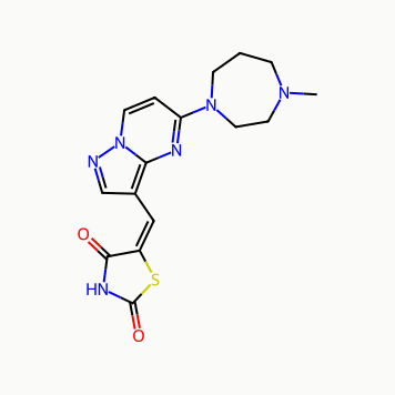 CN1CCCN(c2ccn3ncc(C=C4SC(=O)NC4=O)c3n2)CC1